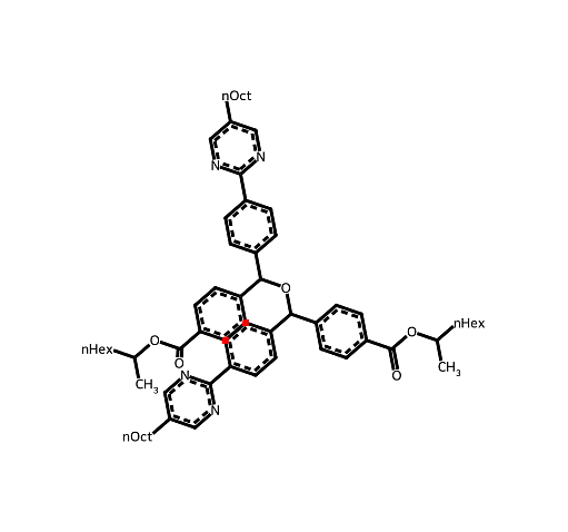 CCCCCCCCc1cnc(-c2ccc(C(OC(c3ccc(C(=O)OC(C)CCCCCC)cc3)c3ccc(-c4ncc(CCCCCCCC)cn4)cc3)c3ccc(C(=O)OC(C)CCCCCC)cc3)cc2)nc1